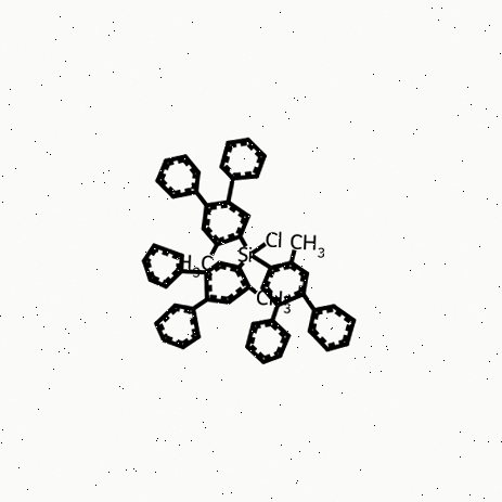 Cc1cc(-c2ccccc2)c(-c2ccccc2)cc1[Si](Cl)(c1cc(-c2ccccc2)c(-c2ccccc2)cc1C)c1cc(-c2ccccc2)c(-c2ccccc2)cc1C